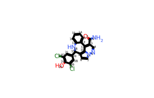 NC(=O)c1cnn2ccc3c2c1-c1ccccc1NC3c1cc(Cl)c(O)c(Cl)c1